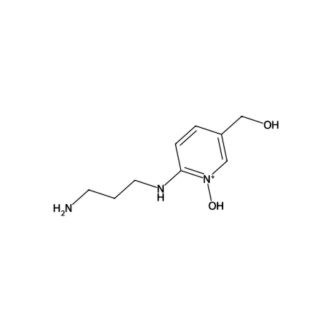 NCCCNc1ccc(CO)c[n+]1O